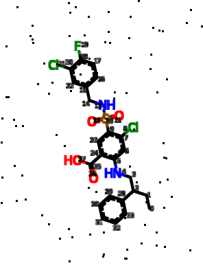 CCC(CNc1cc(Cl)c(S(=O)(=O)NCc2ccc(F)c(Cl)c2)cc1C(=O)O)c1ccccc1